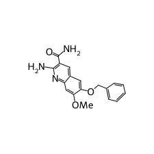 COc1cc2nc(N)c(C(N)=O)cc2cc1OCc1ccccc1